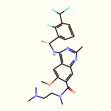 COc1cc2c(N[C@H](C)c3cccc(C(F)F)c3F)nc(C)nc2cc1C(=O)N(C)CCN(C)C